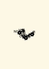 N#Cc1ccc(NC(=O)c2cc3cccc(NC(=O)Cc4cccc(Cl)c4)c3[nH]2)c(-c2nnn[nH]2)c1